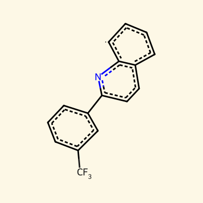 FC(F)(F)c1cccc(-c2ccc3ccc[c]c3n2)c1